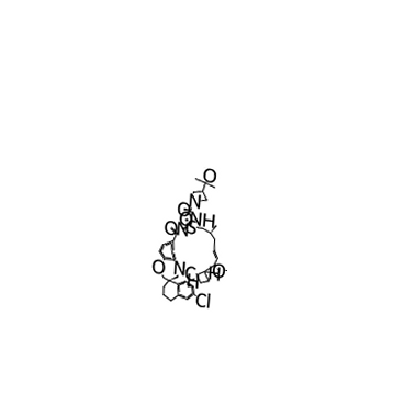 CO[C@H]1/C=C/C[C@H](C)CS(=O)(NC(=O)N2CC(C(C)(C)OC)C2)=NC(=O)c2ccc3c(c2)N(C[C@@H]2CC[C@H]21)C[C@@]1(CCCc2cc(Cl)ccc21)CO3